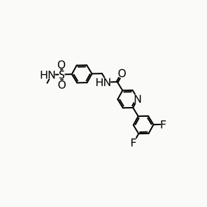 CNS(=O)(=O)c1ccc(CNC(=O)c2ccc(-c3cc(F)cc(F)c3)nc2)cc1